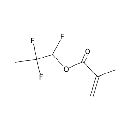 C=C(C)C(=O)OC(F)C(C)(F)F